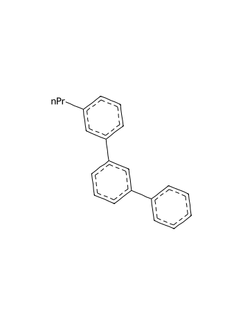 CCCc1cccc(-c2cccc(-c3ccccc3)c2)c1